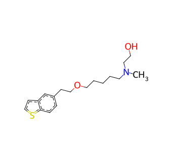 CN(CCO)CCCCCOCCc1ccc2sccc2c1